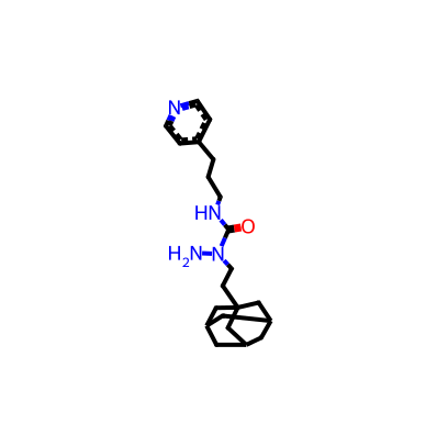 NN(CCC12CC3CC(CC(C3)C1)C2)C(=O)NCCCc1ccncc1